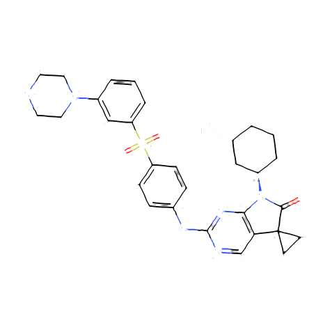 O=C1N([C@@H]2CCC[C@@H](O)C2)c2nc(Nc3ccc(S(=O)(=O)c4cccc(N5CCNCC5)c4)cc3)ncc2C12CC2